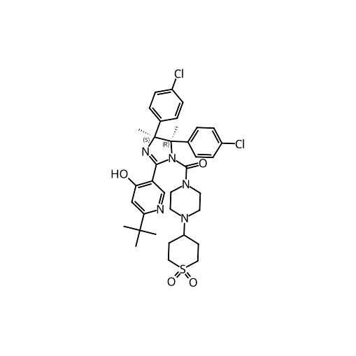 CC(C)(C)c1cc(O)c(C2=N[C@@](C)(c3ccc(Cl)cc3)[C@@](C)(c3ccc(Cl)cc3)N2C(=O)N2CCN(C3CCS(=O)(=O)CC3)CC2)cn1